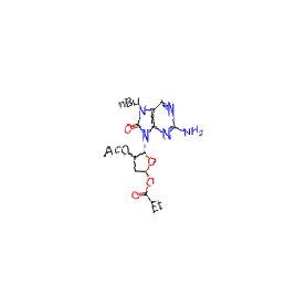 CCCCn1c(=O)n([C@@H]2O[C@@H](OC(=O)CC)C[C@H]2OC(C)=O)c2nc(N)ncc21